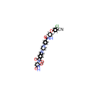 N#Cc1ccc(O[C@H]2CC[C@H](NC(=O)c3ccc(N4CCC(n5cc6cc7c(cc6c5)C(=O)N(C5CCC(=O)NC5=O)C7=O)CC4)cc3)CC2)cc1Cl